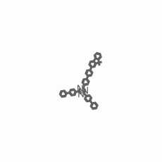 CC1(C)c2ccccc2-c2ccc(-c3ccc(-c4ccc(-c5nc(-c6ccc(-c7ccccc7)cc6)nc(-c6ccc(-c7ccccc7)cc6)n5)cc4)cc3)cc21